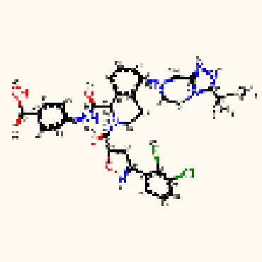 CC(C)c1nnc2n1CCN(c1cccc3c1CCN(C(=O)C1CC(c4cccc(Cl)c4F)=NO1)[C@H]3C(=O)Nc1ccc(C(=O)O)cc1)C2